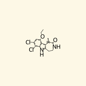 CCOc1cc(Cl)c(Cl)c2[nH]c3c(c12)[C@@H](C)C(=O)NCC3